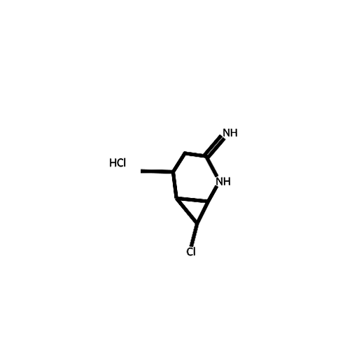 CC1CC(=N)NC2C(Cl)C12.Cl